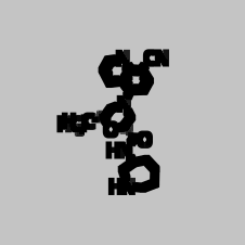 C[C@@H]1CN(c2ccc(C#N)c3ncccc23)C[C@H](C(=O)NC2CCCCNC2)O1.Cl